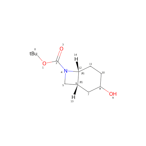 CC(C)(C)OC(=O)N1C[C@H]2CC(O)CC[C@H]21